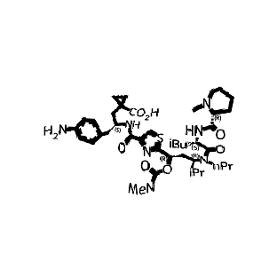 CCCN(C(=O)[C@@H](NC(=O)[C@H]1CCCCN1C)[C@@H](C)CC)[C@H](C[C@@H](OC(=O)NC)c1nc(C(=O)N[C@@H](Cc2ccc(N)cc2)CC2(C(=O)O)CC2)cs1)C(C)C